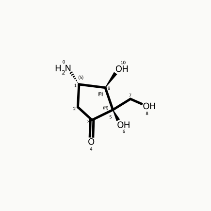 N[C@H]1CC(=O)[C@@](O)(CO)[C@@H]1O